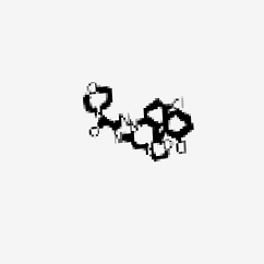 O=C(c1nc2n(n1)-c1ccc(Cl)cc1C1(c3ccccc3Cl)OCCN1C2)N1CCOCC1